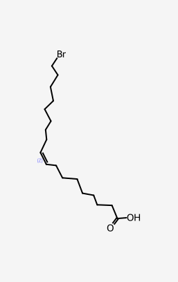 O=C(O)CCCCCCC/C=C\CCCCCCCCBr